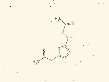 C[C@@H](OC(N)=O)c1cc(CC(N)=S)cs1